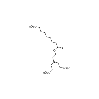 CCCCCCCCCCCCCCCCCC(=O)OCCN(CCCCCCCCCCCC)CCCCCCCCCCCC